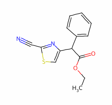 CCOC(=O)C(c1ccccc1)c1csc(C#N)n1